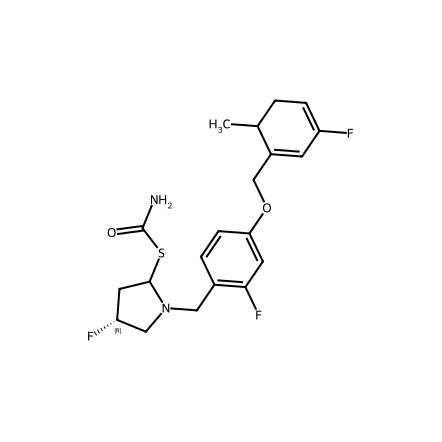 CC1CC=C(F)C=C1COc1ccc(CN2C[C@H](F)CC2SC(N)=O)c(F)c1